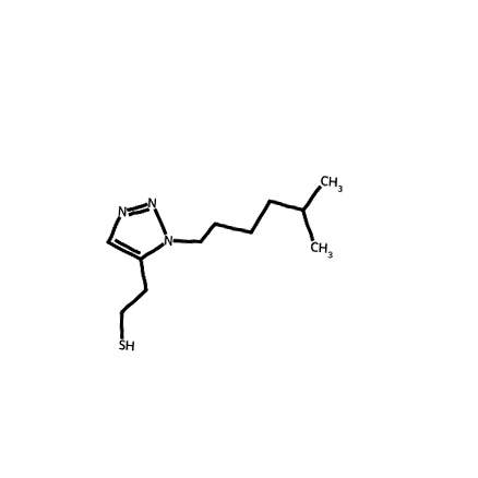 CC(C)CCCCn1nncc1CCS